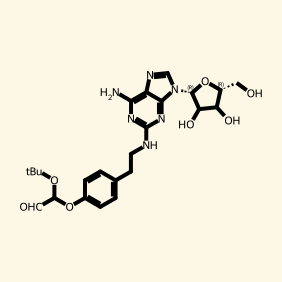 CC(C)(C)OC(C=O)Oc1ccc(CCNc2nc(N)c3ncn([C@@H]4O[C@H](CO)C(O)C4O)c3n2)cc1